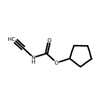 C#CNC(=O)OC1CCCC1